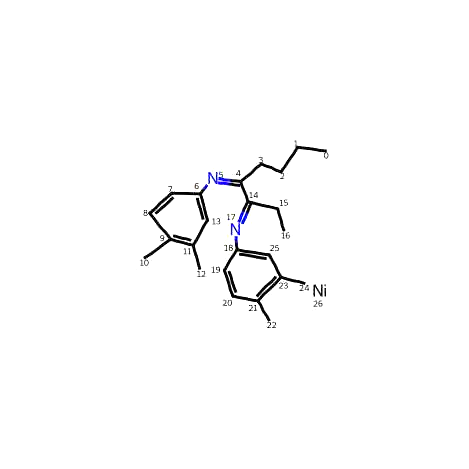 CCCCC(=Nc1ccc(C)c(C)c1)C(CC)=Nc1ccc(C)c(C)c1.[Ni]